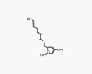 COC1CC(COCCCCCCO)N(C(C)(C)C)C1